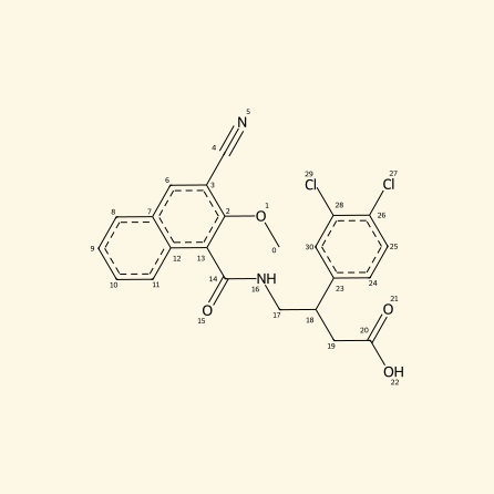 COc1c(C#N)cc2ccccc2c1C(=O)NCC(CC(=O)O)c1ccc(Cl)c(Cl)c1